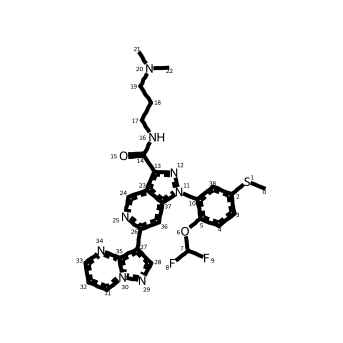 CSc1ccc(OC(F)F)c(-n2nc(C(=O)NCCCN(C)C)c3cnc(-c4cnn5cccnc45)cc32)c1